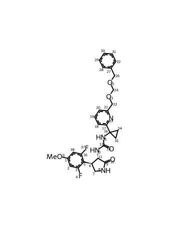 COc1cc(F)c([C@@H]2CNC(=O)[C@H]2NC(=O)NC2(c3cccc(COCOCc4ccccc4)n3)CC2)c(F)c1